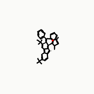 CC1=CC(C)C(c2c3c(cc(C(C)(C)C)c2=C(c2ccccc2)c2ccccc2)=c2cc(C(C)(C)C)ccc2=[C]3)=C1